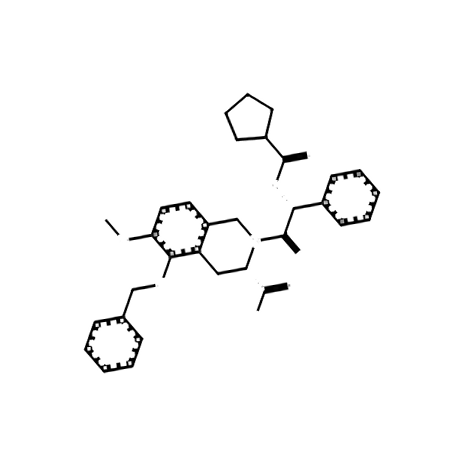 COc1ccc2c(c1OCc1ccccc1)C[C@@H](C(=O)O)N(C(=O)[C@H](NC(=O)C1CCCC1)c1ccccc1)C2